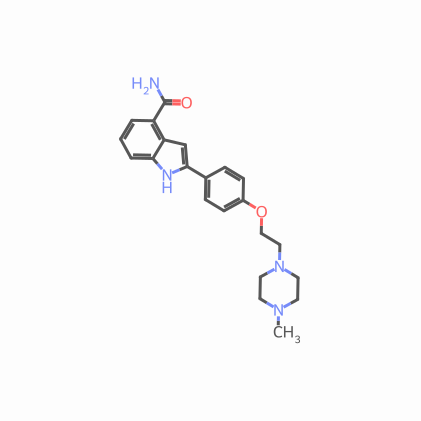 CN1CCN(CCOc2ccc(-c3cc4c(C(N)=O)cccc4[nH]3)cc2)CC1